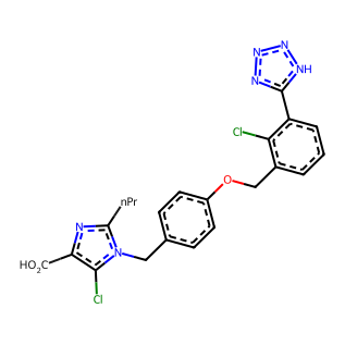 CCCc1nc(C(=O)O)c(Cl)n1Cc1ccc(OCc2cccc(-c3nnn[nH]3)c2Cl)cc1